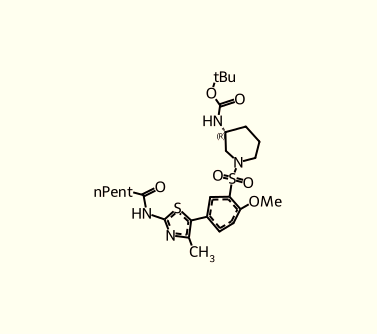 CCCCCC(=O)Nc1nc(C)c(-c2ccc(OC)c(S(=O)(=O)N3CCC[C@@H](NC(=O)OC(C)(C)C)C3)c2)s1